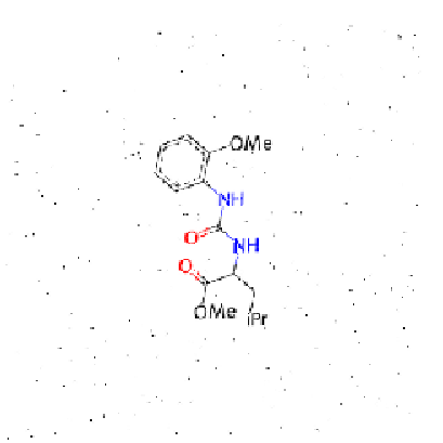 COC(=O)C(CC(C)C)NC(=O)Nc1ccccc1OC